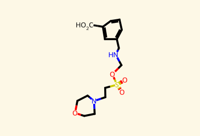 O=C(O)c1cccc(CNCOS(=O)(=O)CCN2CCOCC2)c1